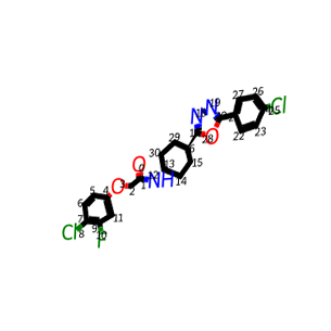 O=C(COc1ccc(Cl)c(F)c1)N[C@H]1CC[C@H](c2nnc(-c3ccc(Cl)cc3)o2)CC1